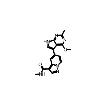 CNC(=O)c1cnn2ccc(-c3c[nH]c4nc(C)nc(OC)c34)cc12